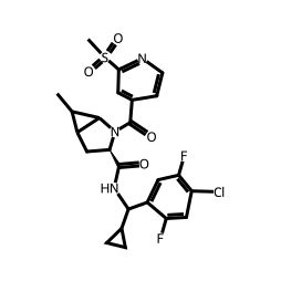 CC1C2C[C@H](C(=O)NC(c3cc(F)c(Cl)cc3F)C3CC3)N(C(=O)c3ccnc(S(C)(=O)=O)c3)C12